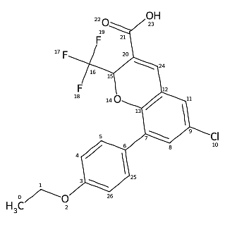 CCOc1ccc(-c2cc(Cl)cc3c2OC(C(F)(F)F)C(C(=O)O)=C3)cc1